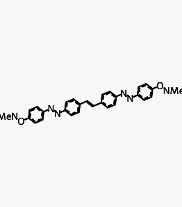 CNOc1ccc(/N=N/c2ccc(/C=C/c3ccc(/N=N/c4ccc(ONC)cc4)cc3)cc2)cc1